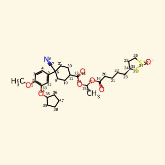 COc1ccc(C2(C#N)CCC(C(=O)OC(C)OC(=O)CCCC[C@H]3CC[S+]([O-])S3)CC2)cc1OC1CCCC1